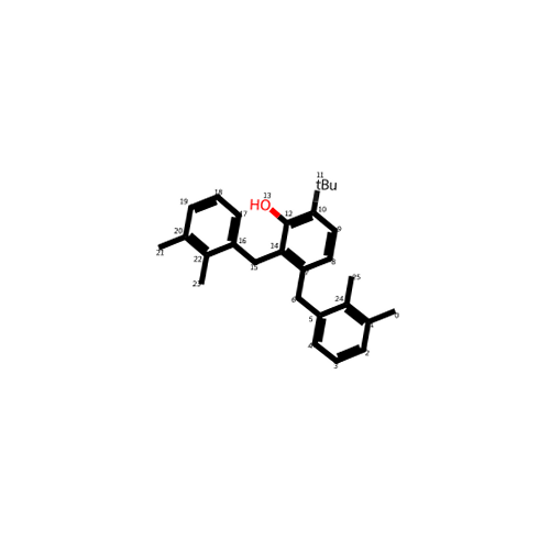 Cc1cccc(Cc2ccc(C(C)(C)C)c(O)c2Cc2cccc(C)c2C)c1C